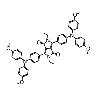 CCN1C(=O)C2=C(c3ccc(N(c4ccc(OC)cc4)c4ccc(OC)cc4)cc3)N(CC)C(=O)C2=C1c1ccc(N(c2ccc(OC)cc2)c2ccc(OC)cc2)cc1